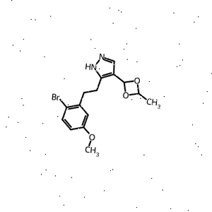 COc1ccc(Br)c(CCc2[nH]ncc2C2OC(C)O2)c1